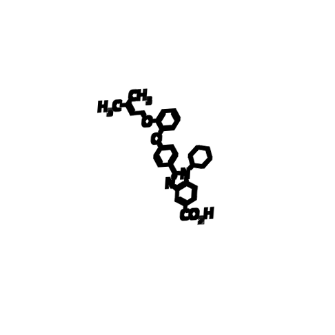 CC(C)=CCOc1ccccc1Oc1ccc(-c2nc3cc(C(=O)O)ccc3n2C2CCCCC2)cc1